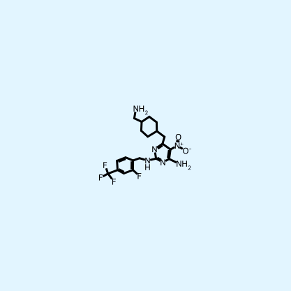 NCC1CCC(Cc2nc(NCc3ccc(C(F)(F)F)cc3F)nc(N)c2[N+](=O)[O-])CC1